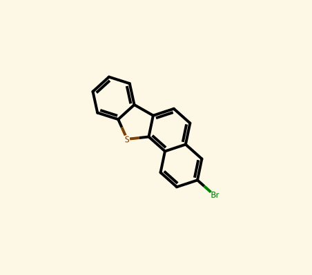 Brc1ccc2c(ccc3c4ccccc4sc23)c1